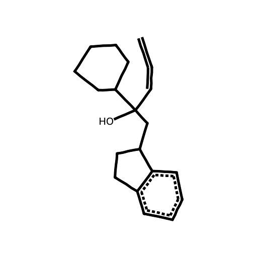 C=C=CC(O)(CC1CCc2ccccc21)C1CCCCC1